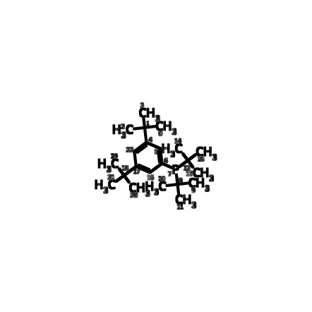 CC(C)(C)c1cc(P(C(C)(C)C)C(C)(C)C)cc(C(C)(C)C)c1